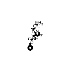 C[C@@H](COC(N)=O)Oc1ncc(F)cc1[C@@H](C)NC(=O)OCc1ccccc1